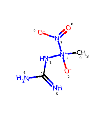 C[N+]([O-])(NC(=N)N)[N+](=O)[O-]